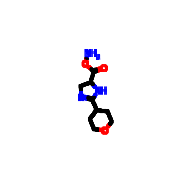 NOC(=O)C1CN=C(C2CCOCC2)N1